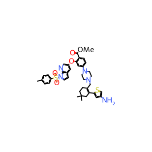 COC(=O)c1ccc(N2CCN(CC3=C(c4cc(N)cs4)CC(C)(C)CC3)CC2)cc1Oc1cnc2c(ccn2S(=O)(=O)c2ccc(C)cc2)c1